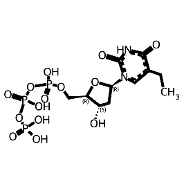 CCc1cn([C@H]2C[C@H](O)[C@@H](COP(=O)(O)OP(=O)(O)OP(=O)(O)O)O2)c(=O)[nH]c1=O